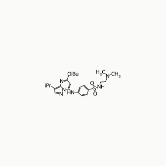 CC(C)COc1cc(Nc2ccc(S(=O)(=O)NCCN(C)C)cc2)n2ncc(C(C)C)c2n1